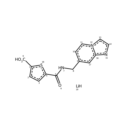 O=C(O)c1ccc(C(=O)NCc2ccn3ccnc3c2)s1.[LiH]